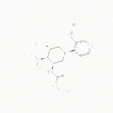 C[C@H]1C[C@@H](c2ccncc2N=C=S)C[C@@H](NC(=O)OC(C)(C)C)[C@H]1N(C)C(=O)O